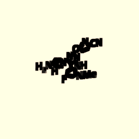 CNc1cc(F)cc2c1[nH]c1nc(Oc3ccc(C#N)nc3)nc(N3C[C@H]4CC3CC4N)c12